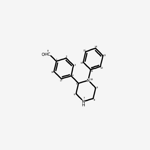 O=Cc1ccc(C2CNCCN2c2ccccc2)cc1